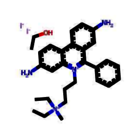 CCO.CC[N+](C)(CC)CCC[n+]1c(-c2ccccc2)c2cc(N)ccc2c2ccc(N)cc21.[I-].[I-]